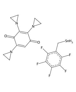 Fc1c(F)c(F)c([CH2][SnH3])c(F)c1F.O=C1C=C(N2CC2)C(=O)C(N2CC2)=C1N1CC1